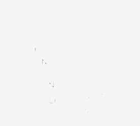 CCCCCCCC(=O)[O-].CCn1cc[n+](CC)c1